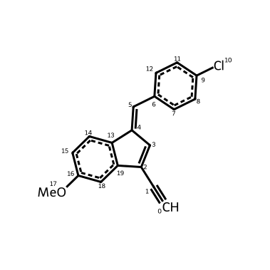 C#CC1=CC(=Cc2ccc(Cl)cc2)c2ccc(OC)cc21